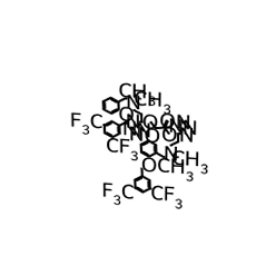 CC(c1ccccc1OCc1cc(C(F)(F)F)cc(C(F)(F)F)c1)N(C)CCC1(OC(=O)C(=O)OC2(CCN(C)C(C)c3ccccc3OCc3cc(C(F)(F)F)cc(C(F)(F)F)c3)N=NN=N2)N=NN=N1